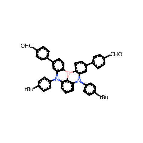 CC(C)(C)c1ccc(N2c3cc(-c4ccc(C=O)cc4)ccc3B3c4ccc(-c5ccc(C=O)cc5)cc4N(c4ccc(C(C)(C)C)cc4)c4cccc2c43)cc1